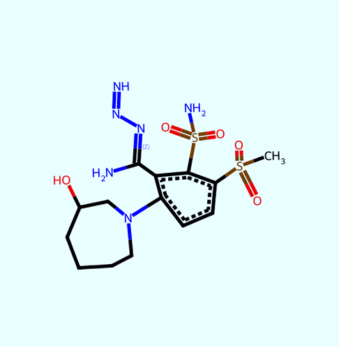 CS(=O)(=O)c1ccc(N2CCCCC(O)C2)c(/C(N)=N/N=N)c1S(N)(=O)=O